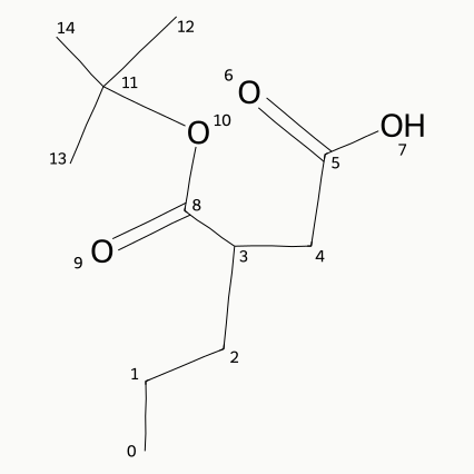 CCCC(CC(=O)O)C(=O)OC(C)(C)C